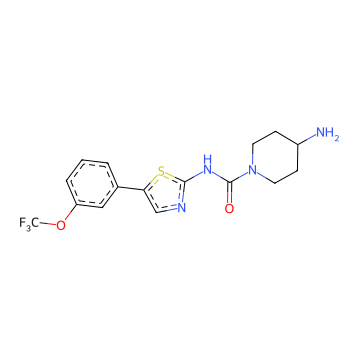 NC1CCN(C(=O)Nc2ncc(-c3cccc(OC(F)(F)F)c3)s2)CC1